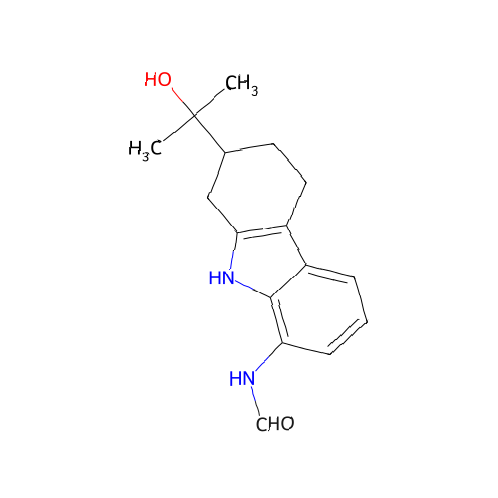 CC(C)(O)C1CCc2c([nH]c3c(NC=O)cccc23)C1